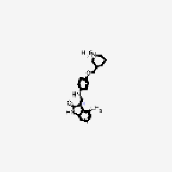 Cc1cccc2c1/C(=C/Nc1ccc(OCC3CCCN(C)C3)cc1)C(=O)N2